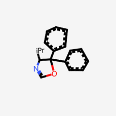 CC(C)C1N=COC1(c1ccccc1)c1ccccc1